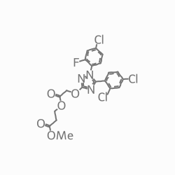 COC(=O)CCOC(=O)COc1nc(-c2ccc(Cl)cc2Cl)n(-c2ccc(Cl)cc2F)n1